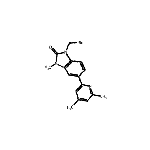 Cc1cc(C(F)(F)F)cc(-c2ccc3c(c2)n(C)c(=O)n3CC(C)(C)C)n1